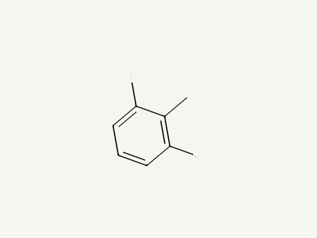 [CH2]c1c(Cl)cccc1I